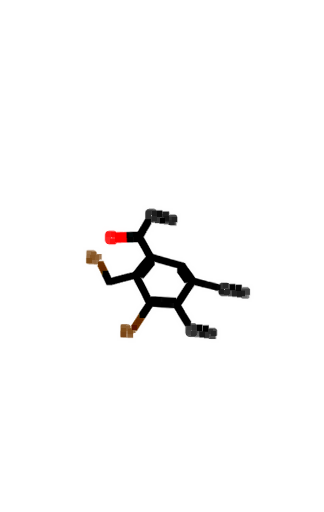 COC(=O)c1cc(OC)c(OC)c(Br)c1CBr